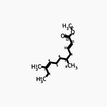 CCC(C)=CCCC(C)C/C=C/C(=O)OC